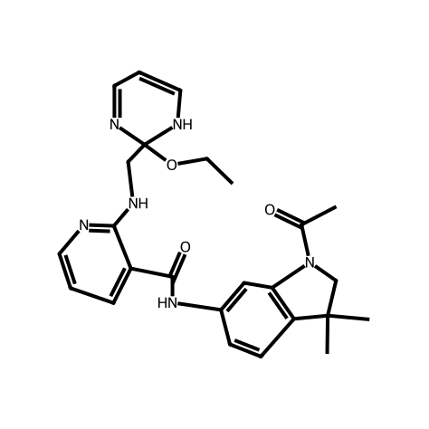 CCOC1(CNc2ncccc2C(=O)Nc2ccc3c(c2)N(C(C)=O)CC3(C)C)N=CC=CN1